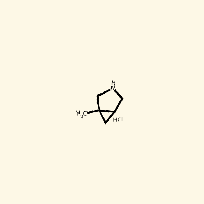 CC12CNCC1C2.Cl